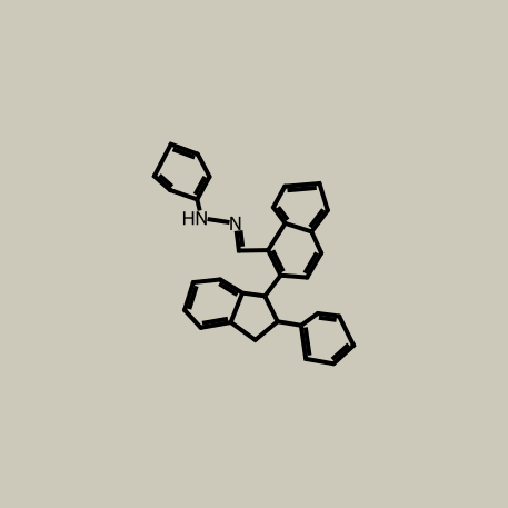 C(=NNc1ccccc1)c1c(C2c3ccccc3CC2c2ccccc2)ccc2ccccc12